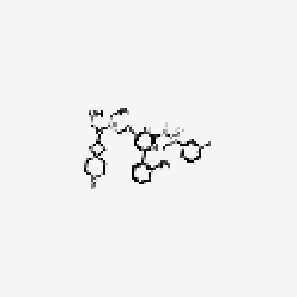 Cc1cccc(S(=O)(=O)Nc2nc(OC[C@@H](CC(C)C)N(CO)C3CC4(CCN(C)CC4)C3)cc(-c3ccccc3C(C)C)n2)c1